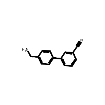 N#Cc1cccc(-c2ccc(CN)cc2)c1